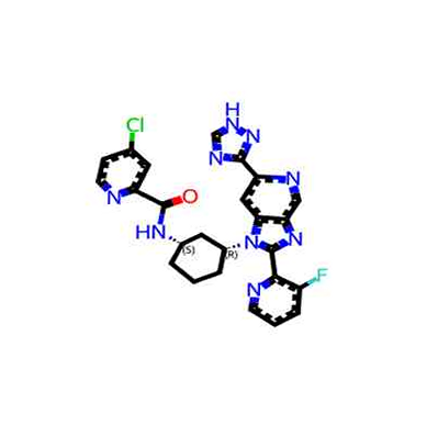 O=C(N[C@H]1CCC[C@@H](n2c(-c3ncccc3F)nc3cnc(-c4nc[nH]n4)cc32)C1)c1cc(Cl)ccn1